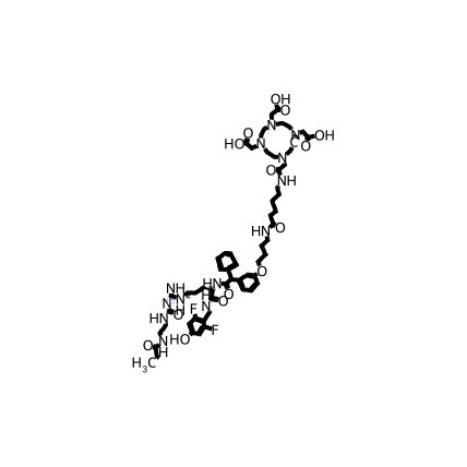 CCC(=O)NCCNC(=O)/N=C(/N)NCCC[C@@H](NC(=O)C(c1ccccc1)c1cccc(OCCCCNC(=O)CCCCCNC(=O)CN2CCN(CC(=O)O)CCN(CC(=O)O)CCN(CC(=O)O)CC2)c1)C(=O)NCc1c(F)cc(O)cc1F